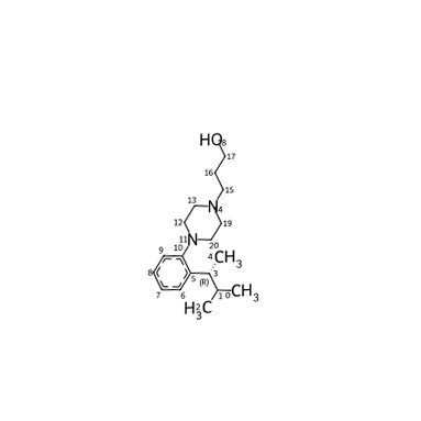 CC(C)[C@@H](C)c1ccccc1N1CCN(CCCO)CC1